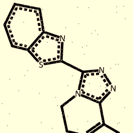 CC1=CCCn2c1nnc2-c1nc2ccccc2s1